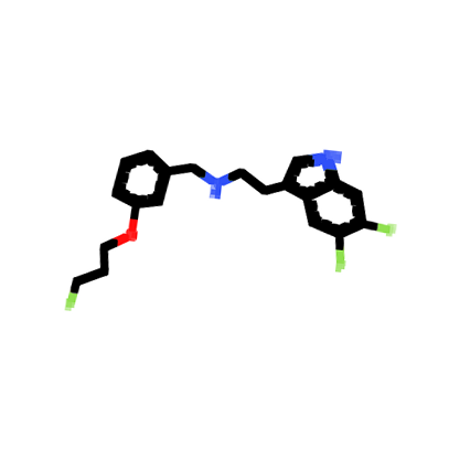 FCCCOc1cccc(CNCCc2c[nH]c3cc(F)c(F)cc23)c1